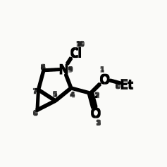 CCOC(=O)C1C2CC2CN1Cl